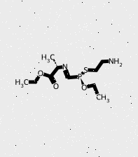 CCOC(=O)[C@H](C)/N=C/[P@](OCC)SCCN